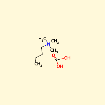 CCCC[N+](C)(C)C.O=C(O)O